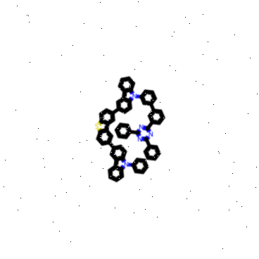 c1ccc(-c2nc(-c3ccccc3)nc(-c3cccc(-c4cccc(-n5c6ccccc6c6cc(-c7ccc8sc9ccc(-c%10ccc%11c(c%10)c%10ccccc%10n%11-c%10ccccc%10)cc9c8c7)ccc65)c4)c3)n2)cc1